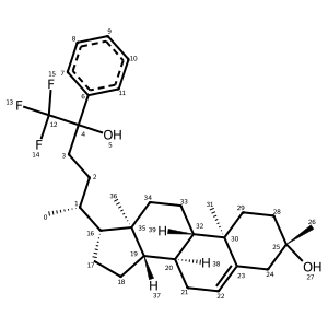 C[C@H](CCC(O)(c1ccccc1)C(F)(F)F)[C@H]1CC[C@H]2[C@@H]3CC=C4C[C@@](C)(O)CC[C@]4(C)[C@H]3CC[C@]12C